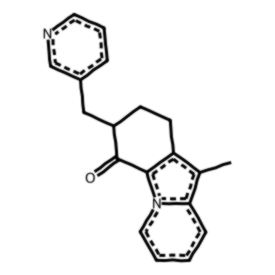 Cc1c2c(n3ccccc13)C(=O)C(Cc1cccnc1)CC2